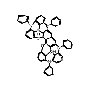 c1ccc(N2c3cccc4c3[SiH]3c5c2cccc5N(c2ccccc2)c2cc5cc6c7c(c5c(c23)O4)Oc2cccc3c2[SiH]7c2c(cccc2N6c2ccccc2)N3c2ccccc2)cc1